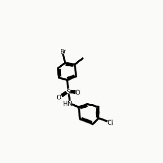 Cc1cc(S(=O)(=O)Nc2ccc(Cl)cc2)ccc1Br